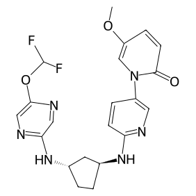 COc1ccc(=O)n(-c2ccc(N[C@H]3CC[C@H](Nc4cnc(OC(F)F)cn4)C3)nc2)c1